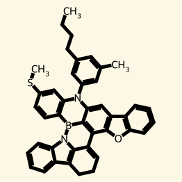 CCCCc1cc(C)cc(N2c3cc(SC)ccc3B3c4c2cc2c5c(oc2c4C2=CCCc4c2n3c2ccccc42)C=C=C=C5)c1